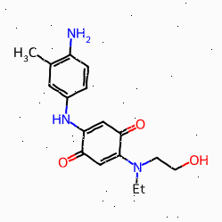 CCN(CCO)C1=CC(=O)C(Nc2ccc(N)c(C)c2)=CC1=O